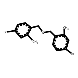 Cc1cc(Br)ccc1CSCc1ccc(Br)cc1C